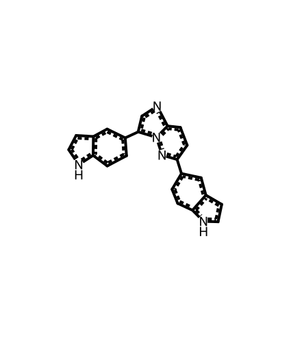 c1cc2cc(-c3ccc4ncc(-c5ccc6[nH]ccc6c5)n4n3)ccc2[nH]1